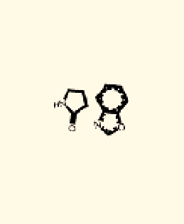 O=C1CCCN1.c1ccc2ocnc2c1